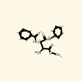 COC(=O)C(N)[C@H](NC(=O)c1ccccc1)C(=O)Nc1ccccc1